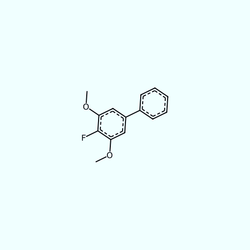 COc1cc(-c2ccccc2)cc(OC)c1F